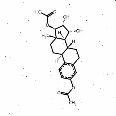 CC(=O)Oc1ccc2c(c1)CC[C@H]1[C@@H]3[C@@H](O)[C@@H](O)[C@H](OC(C)=O)[C@@]3(C)CC[C@H]21